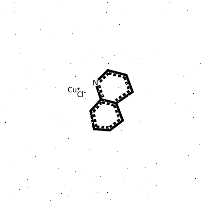 [Cl-].[Cu+].c1ccc2ncccc2c1